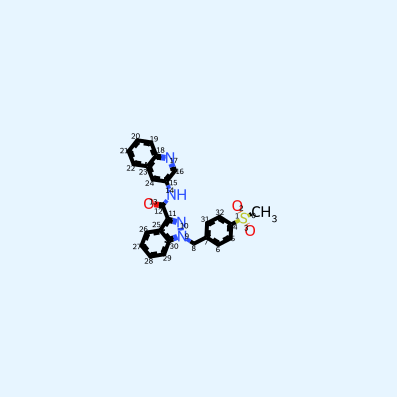 CS(=O)(=O)c1ccc(Cn2nc(C(=O)Nc3cnc4ccccc4c3)c3ccccc32)cc1